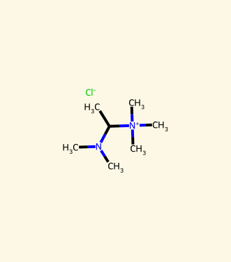 CC(N(C)C)[N+](C)(C)C.[Cl-]